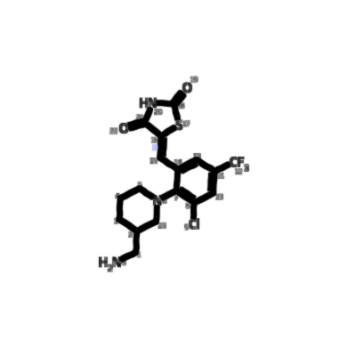 NCC1CCCN(c2c(Cl)cc(C(F)(F)F)cc2/C=C2\SC(=O)NC2=O)C1